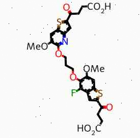 COc1cc2sc(C(=O)CCC(=O)O)cc2nc1OCCCOc1c(OC)cc2sc(C(=O)CCC(=O)O)cc2c1F